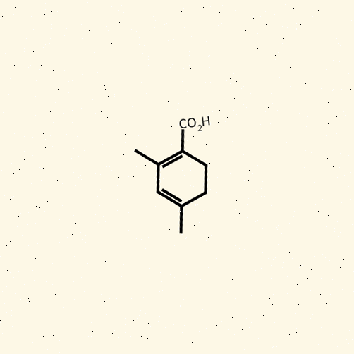 CC1=CC(C)=C(C(=O)O)CC1